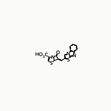 O=C(O)C1=CSC2C(=Cc3cn4c(nc5ccccc54)s3)C(=O)N12